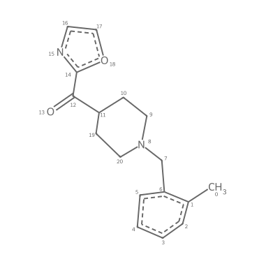 Cc1ccccc1CN1CCC(C(=O)c2ncco2)CC1